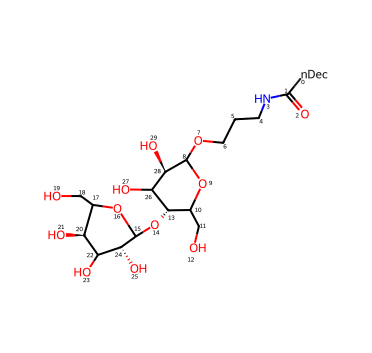 CCCCCCCCCCC(=O)NCCCOC1OC(CO)[C@H](OC2OC(CO)[C@H](O)C(O)[C@H]2O)C(O)[C@H]1O